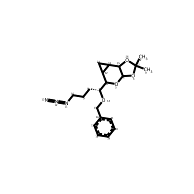 CC1(C)OC2OC([C@@H](CCCN=[N+]=[N-])OCc3ccccc3)C3CC3C2O1